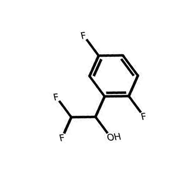 OC(c1cc(F)ccc1F)C(F)F